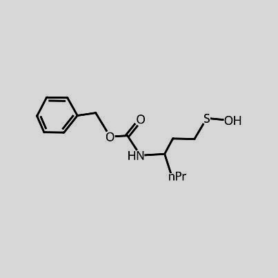 CCCC(CCSO)NC(=O)OCc1ccccc1